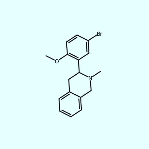 COc1ccc(Br)cc1C1Cc2ccccc2CN1C